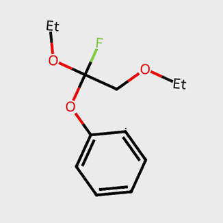 CCOCC(F)(OCC)Oc1[c]cccc1